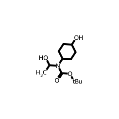 CC(O)N(C(=O)OC(C)(C)C)C1CCC(O)CC1